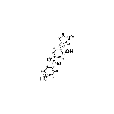 CN1CC[C@@H](c2ccc(S(=O)(=O)c3ccc(O)cc3)cc2O)C1